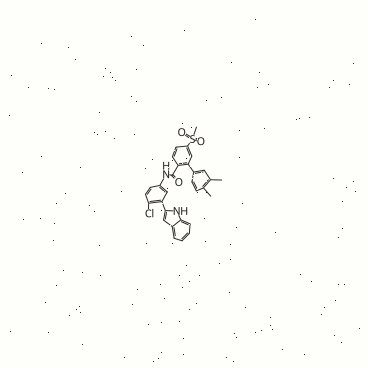 Cc1ccc(-c2cc(S(C)(=O)=O)ccc2C(=O)Nc2ccc(Cl)c(-c3cc4ccccc4[nH]3)c2)cc1C